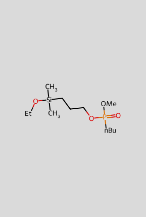 CCCCP(=O)(OC)OCCC[Si](C)(C)OCC